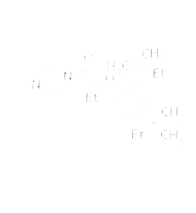 CCC(Oc1ccc(C(C)(C)CC)cc1C(C)(C)CC)C(=O)N1CC[N]CC1